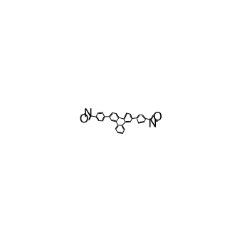 c1ccc2c(c1)c1cc(-c3ccc(-c4cocn4)cc3)ccc1c1ccc(-c3ccc(-c4cocn4)cc3)cc21